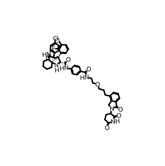 O=C1CCC(N2Cc3c(CCCOCCNC(=O)c4ccc(NC(=O)[C@@H]5NC6(CCCCC6)[C@@]6(C(=O)Nc7cc(Cl)ccc76)[C@H]5c5cccc(Cl)c5F)cc4)cccc3C2=O)C(=O)N1